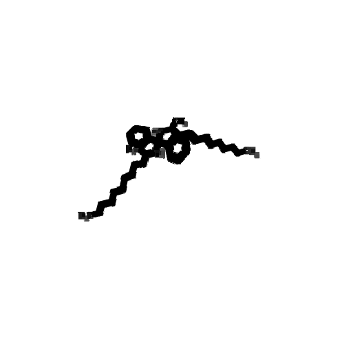 CCCCCCCCCCC(C)NC(NC(C)CCCCCCCCCC)(c1ccccc1)c1ccccc1